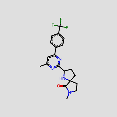 Cc1cc(-c2ccc(C(F)(F)F)cc2)nc(C2CC[C@]3(CCN(C)C3=O)N2)n1